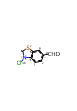 O=Cc1ccc2c(c1)SCN2Cl